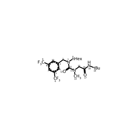 CCCCCCN(Cc1cc(C(F)(F)F)cc(C(F)(F)F)c1)C(=O)N(C)CC(=O)NC(C)(C)C